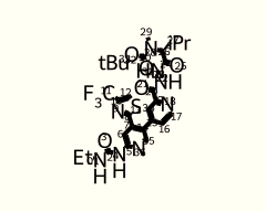 CCNC(=O)Nc1cc(-c2nc(C(F)(F)F)cs2)c(-c2ccnc(C(=O)NNC(=O)[C@H](C(C)C)N(C)C(=O)OC(C)(C)C)c2)cn1